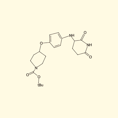 CC(C)(C)OC(=O)N1CCC(Oc2ccc(NC3CCC(=O)NC3=O)cc2)CC1